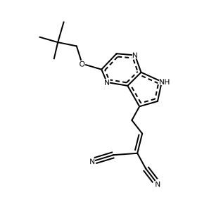 CC(C)(C)COc1cnc2[nH]cc(CC=C(C#N)C#N)c2n1